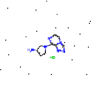 Cl.NC1CCN(c2nccn3cnnc23)C1